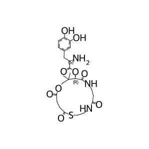 CC1(C)COC(=O)CCC(=O)SCCNC(=O)CCNC(=O)[C@@H]1OC(=O)[C@@H](N)Cc1ccc(O)c(O)c1